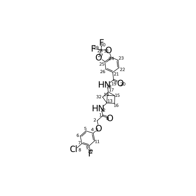 O=C(COc1ccc(Cl)c(F)c1)NC12CC(C1)C(NC(=O)c1ccc3c(c1)OC(F)(F)O3)C2